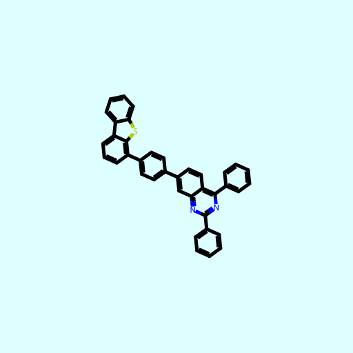 c1ccc(-c2nc(-c3ccccc3)c3ccc(-c4ccc(-c5cccc6c5sc5ccccc56)cc4)cc3n2)cc1